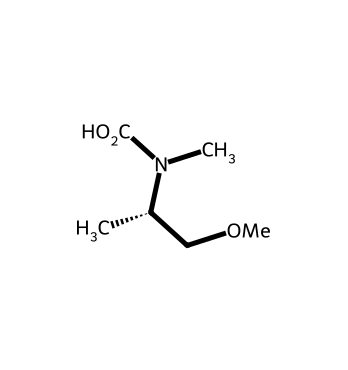 COC[C@H](C)N(C)C(=O)O